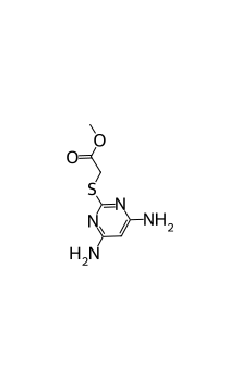 COC(=O)CSc1nc(N)cc(N)n1